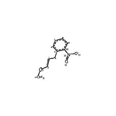 COC=CCc1ccccc1[N+](=O)[O-]